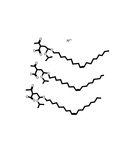 CCCCCCCC/C=C\CCCCCCCCOC(CC(C(C)=O)C(=O)[O-])OC(C)C.CCCCCCCC/C=C\CCCCCCCCOC(CC(C(C)=O)C(=O)[O-])OC(C)C.CCCCCCCC/C=C\CCCCCCCCOC(CC(C(C)=O)C(=O)[O-])OC(C)C.[Al+3]